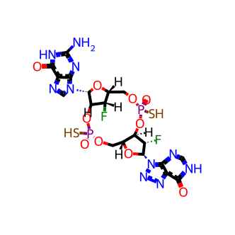 Nc1nc2c(ncn2[C@@H]2O[C@@H]3COP(=O)(S)O[C@H]4[C@H](F)[C@H](n5nnc6c(=O)[nH]cnc65)O[C@@H]4COP(=O)(S)O[C@@H]2[C@H]3F)c(=O)[nH]1